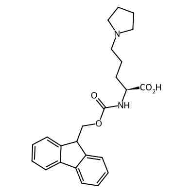 O=C(N[C@@H](CCCN1CCCC1)C(=O)O)OCC1c2ccccc2-c2ccccc21